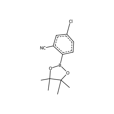 CC1(C)OB(c2ccc(Cl)cc2C#N)OC1(C)C